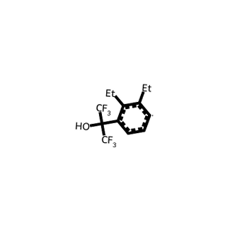 CCc1[c]ccc(C(O)(C(F)(F)F)C(F)(F)F)c1CC